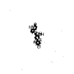 O=C1CCc2c(cccc2OC[C@]2(O)CCN(c3c(F)cc(Cl)cc3F)C[C@H]2O)N1